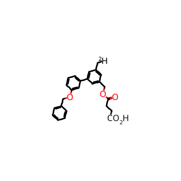 [2H]Cc1cc(COC(=O)CCC(=O)O)cc(-c2cccc(OCc3ccccc3)c2)c1